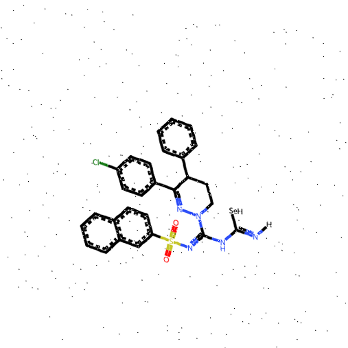 [H]/N=C(\[SeH])N/C(=N/S(=O)(=O)c1ccc2ccccc2c1)N1CCC(c2ccccc2)C(c2ccc(Cl)cc2)=N1